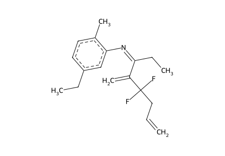 C=CCC(F)(F)C(=C)/C(CC)=N\c1cc(CC)ccc1C